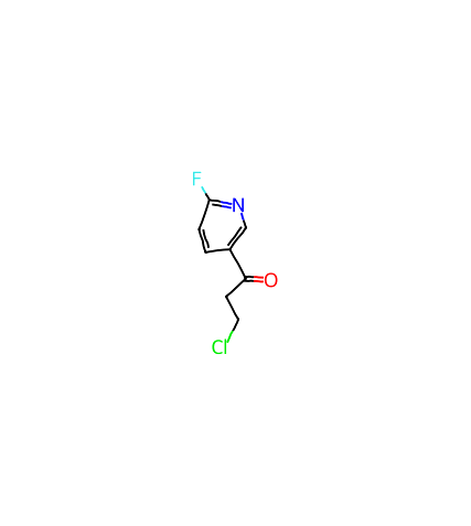 O=C(CCCl)c1ccc(F)nc1